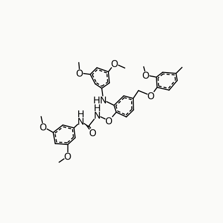 COc1cc(NC(=O)NOc2ccc(COc3ccc(C)cc3OC)cc2Nc2cc(OC)cc(OC)c2)cc(OC)c1